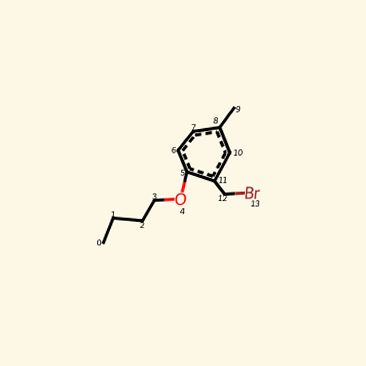 CCCCOc1ccc(C)cc1CBr